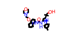 Cc1ccc(-n2nc(C(C)(C)CO)cc2NC(=O)Nc2ccc(OCCN3CCOCC3)c3ccccc23)cc1